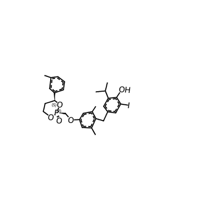 Cc1cccc([C@@H]2CCO[P@](=O)(COc3cc(C)c(Cc4cc(I)c(O)c(C(C)C)c4)c(C)c3)O2)c1